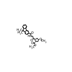 COC(=O)[C@@H]1C[C@@H](OC)CN1C(=O)CNC(=O)c1ccc2c(c1)-c1ccccc1C2(C)C